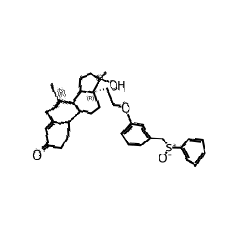 C[C@@H]1CC2=CC(=O)CCC2C2CC[C@@]3(CCOc4cccc(C[S+]([O-])c5ccccc5)c4)C(CC[C@]3(C)O)C21